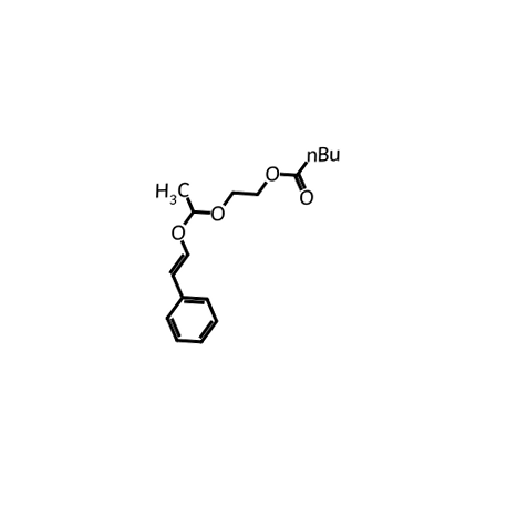 CCCCC(=O)OCCOC(C)OC=Cc1ccccc1